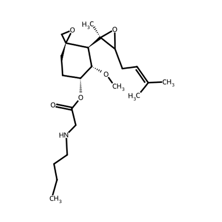 CCCCNCC(=O)O[C@@H]1CC[C@]2(CO2)[C@@H]([C@@]2(C)OC2CC=C(C)C)[C@@H]1OC